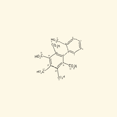 O=C(O)c1ccccc1-c1c(C(=O)O)c(C(=O)O)c(C(=O)O)c(C(=O)O)c1C(=O)O